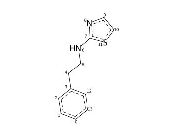 c1ccc(CCNc2nccs2)cc1